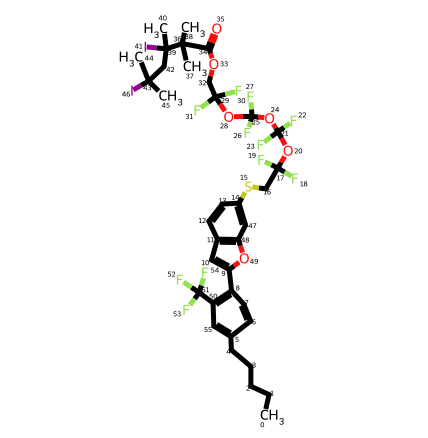 CCCCCc1ccc(-c2cc3ccc(SCC(F)(F)OC(F)(F)OC(F)(F)OC(F)(F)COC(=O)C(C)(C)C(C)(I)CC(C)(C)I)cc3o2)c(C(F)(F)F)c1